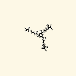 C=C(C)C(=O)OCCCCC(=O)Oc1cc(C(=O)CCCCOC(=O)C(=C)C)cc(C(=O)CCCCOC(=O)C(=C)C)c1